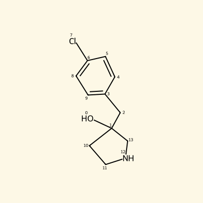 OC1(Cc2ccc(Cl)cc2)CCNC1